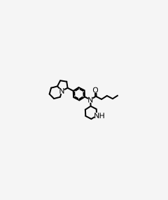 CCCCC(=O)N(c1ccc(C2CCC3CCCCN32)cc1)C1CCCNC1